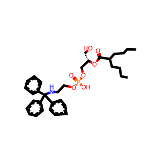 CCCCC(CCCC)C(=O)O[C@@H](CO)COP(=O)(O)OCCNC(c1ccccc1)(c1ccccc1)c1ccccc1